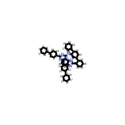 c1ccc(-c2ccc(-c3nc(-c4ccc(-c5ccccc5)cc4)nc(-n4c5ccccc5c5ccc6c7ccccc7c7nc8ccccc8n7c6c54)n3)cc2)cc1